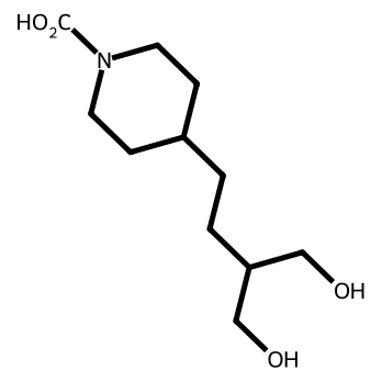 O=C(O)N1CCC(CCC(CO)CO)CC1